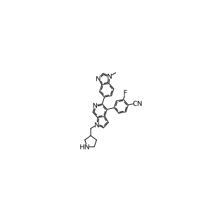 Cn1cnc2cc(-c3ncc4c(ccn4CC4CCNC4)c3-c3ccc(C#N)c(F)c3)ccc21